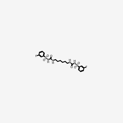 O=C(NCCCCCCNC(=O)NS(=O)(=O)c1cccc(F)c1)NS(=O)(=O)c1cccc(F)c1